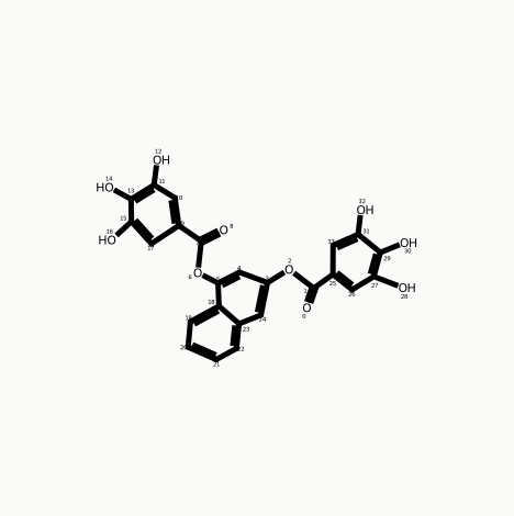 O=C(Oc1cc(OC(=O)c2cc(O)c(O)c(O)c2)c2ccccc2c1)c1cc(O)c(O)c(O)c1